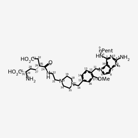 CCCCCNc1nc(N)nc2ccn(Cc3ccc(CN4CCN(CCNC(=O)[C@H](CC[C@H](N)C(=O)O)CC(=O)O)CC4)cc3OC)c12